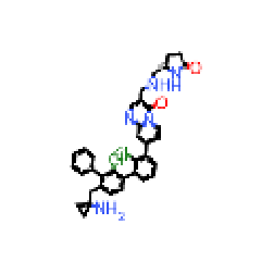 NC1(Cc2ccc(-c3cccc(-c4ccn5c(=O)c(CNC[C@H]6CCC(=O)N6)cnc5c4)c3Cl)c(Cl)c2-c2ccccc2)CC1